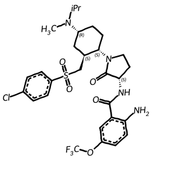 CC(C)N(C)[C@@H]1CC[C@H](N2CC[C@H](NC(=O)c3cc(OC(F)(F)F)ccc3N)C2=O)[C@@H](CS(=O)(=O)c2ccc(Cl)cc2)C1